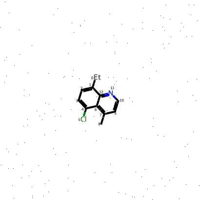 CCc1ccc(Cl)c2c(C)ccnc12